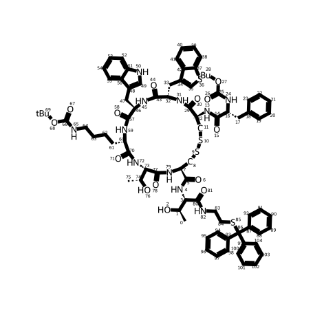 C[C@@H](O)[C@H](NC(=O)[C@@H]1CSSC[C@H](NC(=O)[C@@H](Cc2ccccc2)NC(=O)OC(C)(C)C)C(=O)N[C@@H](Cc2csc3ccccc23)C(=O)N[C@H](Cc2c[nH]c3ccccc23)C(=O)N[C@@H](CCCCNC(=O)OC(C)(C)C)C(=O)N[C@@H]([C@@H](C)O)C(=O)N1)C(=O)NCCSC(c1ccccc1)(c1ccccc1)c1ccccc1